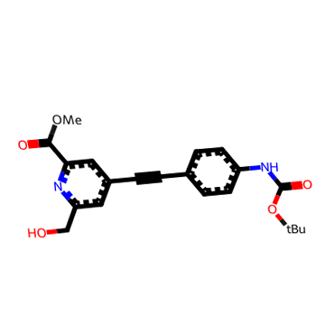 COC(=O)c1cc(C#Cc2ccc(NC(=O)OC(C)(C)C)cc2)cc(CO)n1